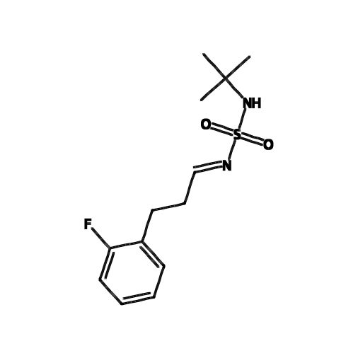 CC(C)(C)NS(=O)(=O)/N=C/CCc1ccccc1F